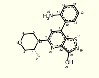 C[C@@H]1COCCN1c1cc(-c2ccccc2N)c2snc(O)c2n1